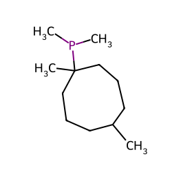 CC1CCCC(C)(P(C)C)CCC1